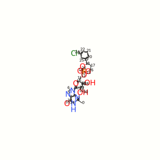 Cc1nc2c(ncn2[C@@H]2OC(COP3(=O)OCCC(c4cccc(Cl)c4)O3)[C@@H](O)[C@@]2(C)O)c(=O)[nH]1